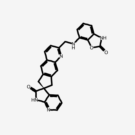 O=C1Nc2ncccc2[C@]12Cc1cc3ccc(CNc4cccc5[nH]c(=O)oc45)nc3cc1C2